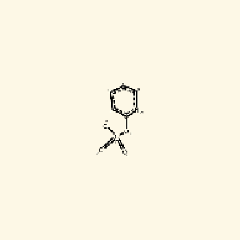 [O]=[Cr](=[O])([Cl])[O]c1ccccn1